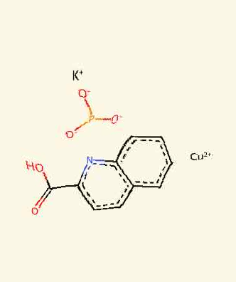 O=C(O)c1ccc2ccccc2n1.[Cu+2].[K+].[O-]P([O-])[O-]